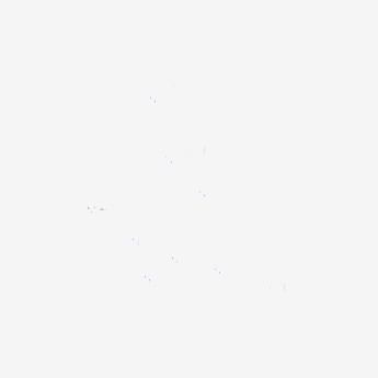 COc1cc(N(C)CCN(C)C)c(N)cc1Nc1nccc(-n2cc(C)c3ccccc32)n1